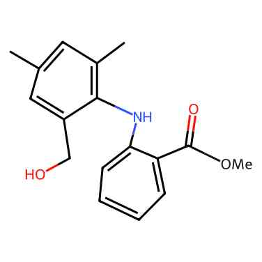 COC(=O)c1ccccc1Nc1c(C)cc(C)cc1CO